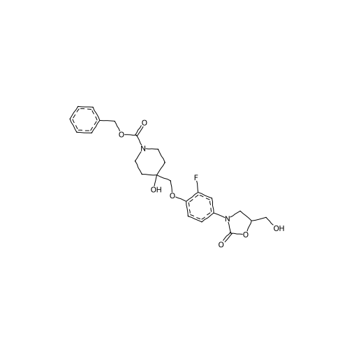 O=C(OCc1ccccc1)N1CCC(O)(COc2ccc(N3CC(CO)OC3=O)cc2F)CC1